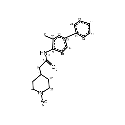 CC(=O)N1CCC(CC(=O)Nc2ccc(-c3ccccc3)cc2C)CC1